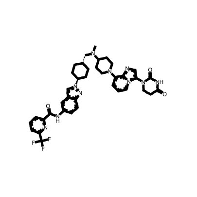 CN(C[C@H]1CC[C@H](n2cc3cc(NC(=O)c4cccc(C(F)(F)F)n4)ccc3n2)CC1)C1CCN(c2cccn3c(N4CCC(=O)NC4=O)cnc23)CC1